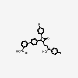 O=C1C(CC[C@H](O)c2ccc(F)cc2)C(c2ccc(-c3cccc(B(O)O)c3)cc2)N1c1ccc(F)cc1